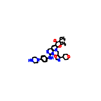 CC(C)C(=O)c1cc2cnc(Nc3ccc(N4CCNCC4)cc3)nc2n(Cc2ocnc2C2CCOCC2)c1=O